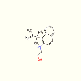 C=C(C)C(C)(C)c1c(NCCO)ccc2ccccc12